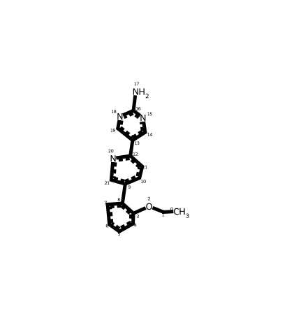 CCOc1ccccc1-c1ccc(-c2cnc(N)nc2)nc1